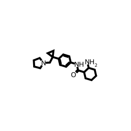 NC1CCCCC1C(=O)Nc1ccc(C2(CN3CCCC3)CC2)cc1